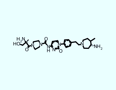 CC1CCN(CCc2ccc(-n3ccc(NC(=O)N4CCN(C(=O)[C@@](C)(N)CO)CC4)nc3=O)cc2)CC[C@H]1N